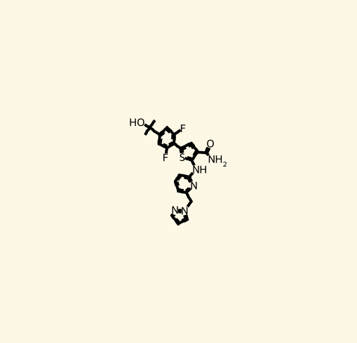 CC(C)(O)c1cc(F)c(-c2cc(C(N)=O)c(Nc3cccc(Cn4cccn4)n3)s2)c(F)c1